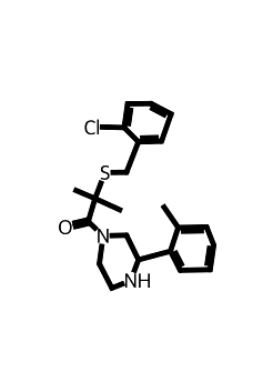 Cc1ccccc1C1CN(C(=O)C(C)(C)SCc2ccccc2Cl)CCN1